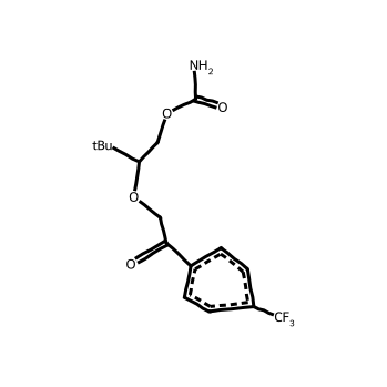 CC(C)(C)C(COC(N)=O)OCC(=O)c1ccc(C(F)(F)F)cc1